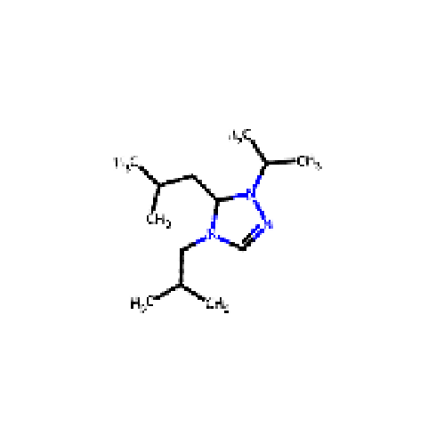 CC(C)CC1N(CC(C)C)C=NN1C(C)C